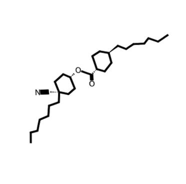 CCCCCCC[C@H]1CC[C@H](C(=O)O[C@H]2CC[C@](C#N)(CCCCCCC)CC2)CC1